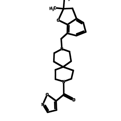 CC1(C)Cc2cccc(CN3CCC4(CC3)CCN(C(=O)c3ccno3)CC4)c2O1